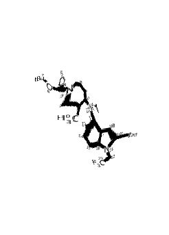 CC1CN(C(=O)OC(C)(C)C)CCC1Nc1cccc2c1cc(I)n2CC(F)(F)F